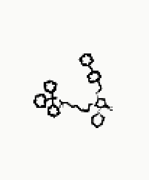 O=C(CCC/C=C\C[C@H]1[C@@H](OCc2ccc(-c3ccccc3)cc2)CC(=O)[C@@H]1N1CCCCC1)OC(c1ccccc1)(c1ccccc1)c1ccccc1